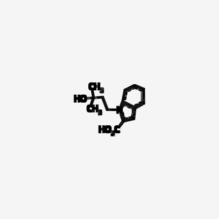 CC(C)(O)CCn1c(C(=O)O)cc2ccccc21